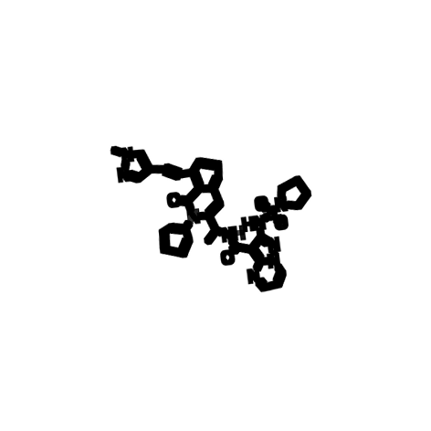 CC(NC(=O)c1c(NS(=O)(=O)N2CCCC2)nn2cccnc12)c1cc2cccc(C#Cc3cnn(C)c3)c2c(=O)n1-c1ccccc1